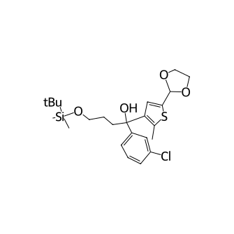 Cc1sc(C2OCCO2)cc1C(O)(CCCO[Si](C)(C)C(C)(C)C)c1cccc(Cl)c1